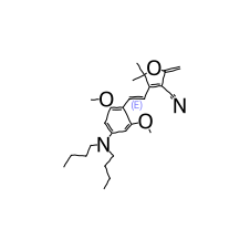 C=C1OC(C)(C)C(/C=C/c2c(OC)cc(N(CCCC)CCCC)cc2OC)=C1C#N